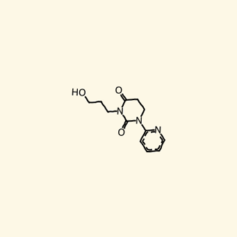 O=C1CCN(c2ccccn2)C(=O)N1CCCO